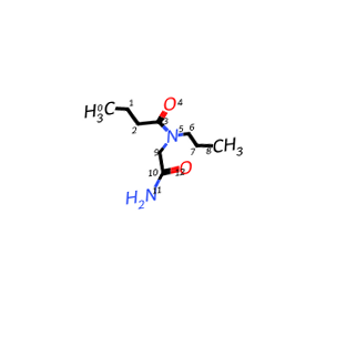 CCCC(=O)N(CCC)CC(N)=O